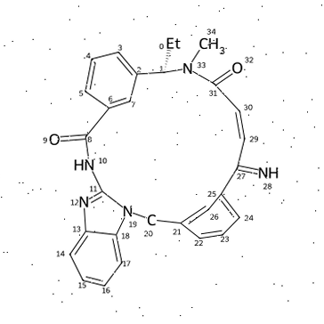 CC[C@H]1c2cccc(c2)C(=O)Nc2nc3ccccc3n2Cc2cccc(c2)C(=N)/C=C\C(=O)N1C